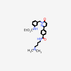 CCOC(=O)Nc1cccc(Cn2nc(-c3ccc(C(=O)NCCCCN(C)C)cc3)ccc2=O)c1